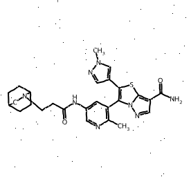 Cc1ncc(NC(=O)CCN2CC3CCC2CC3)cc1-c1c(-c2cnn(C)c2)sc2c(C(N)=O)cnn12